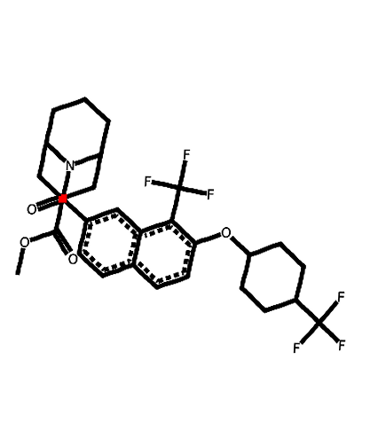 COC(=O)C1CC2CCCC(C1)N2C(=O)c1ccc2ccc(OC3CCC(C(F)(F)F)CC3)c(C(F)(F)F)c2c1